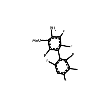 Bc1c(F)c(F)c(-c2c(F)cc(F)c(C)c2F)c(F)c1OC